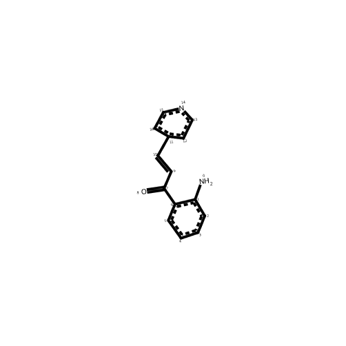 Nc1ccccc1C(=O)C=Cc1ccncc1